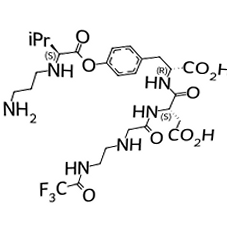 CC(C)[C@H](NCCCN)C(=O)Oc1ccc(C[C@@H](NC(=O)[C@H](CC(=O)O)NC(=O)CNCCNC(=O)C(F)(F)F)C(=O)O)cc1